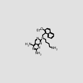 CCOc1ccc2ccccc2c1CN(CCCCN)c1ncc2c(N)nc(N)nc2n1